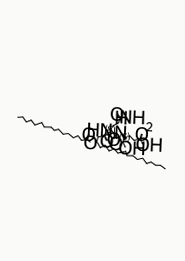 CCCCCCCCCCCCCCCC(=O)OC(CCCCCCCCCCCCCCC)CC(=O)N[C@@H](CCC(N)=O)C(=O)N[C@@H](CCC(=O)O)C(=O)O